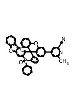 Cc1cc(-c2ccc3c(c2)Oc2ccccc2C32c3ccccc3P(=O)(c3ccccc3)c3cc4oc5ccccc5c4cc32)cc(C#N)n1